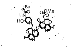 CC(C)(C)OC(=O)N[C@@H]1CCN(C[C@@H]2COc3c(F)cnc4ccc(=O)n2c34)C[C@@H]1O.COS(=O)(=O)C[C@@H]1COc2c(F)cnc3ccc(=O)n1c23